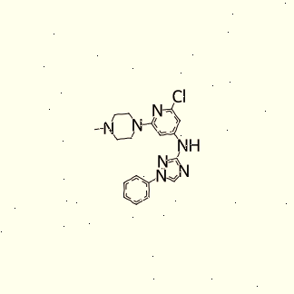 CN1CCN(c2cc(Nc3ncn(-c4ccccc4)n3)cc(Cl)n2)CC1